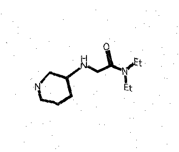 CCN(CC)C(=O)CNC1CCC[N]C1